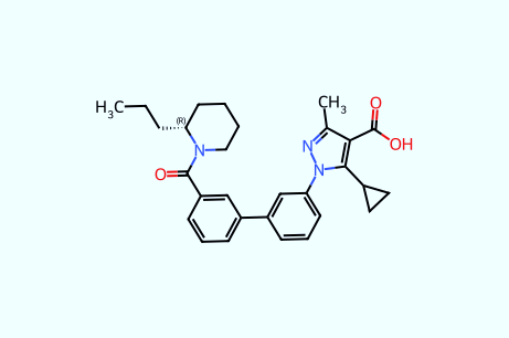 CCC[C@@H]1CCCCN1C(=O)c1cccc(-c2cccc(-n3nc(C)c(C(=O)O)c3C3CC3)c2)c1